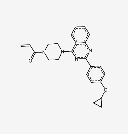 C=CC(=O)N1CCN(c2nc(-c3ccc(OC4CC4)cc3)nc3ccccc23)CC1